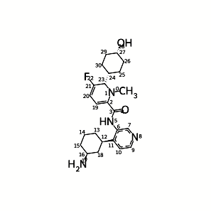 CN1C(C(=O)Nc2cnccc2[C@@H]2CCC[C@H](N)C2)=CC=C(F)C1[C@H]1CC[C@@H](O)CC1